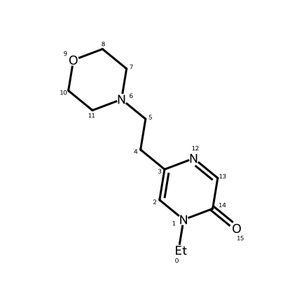 CCn1cc(CCN2CCOCC2)ncc1=O